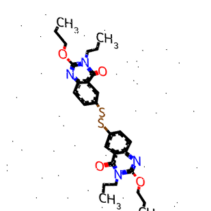 CCCOc1nc2ccc(SSc3ccc4nc(OCCC)n(CCC)c(=O)c4c3)cc2c(=O)n1CCC